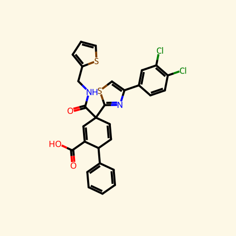 O=C(O)C1=CC(C(=O)NCc2cccs2)(c2nc(-c3ccc(Cl)c(Cl)c3)cs2)C=CC1c1ccccc1